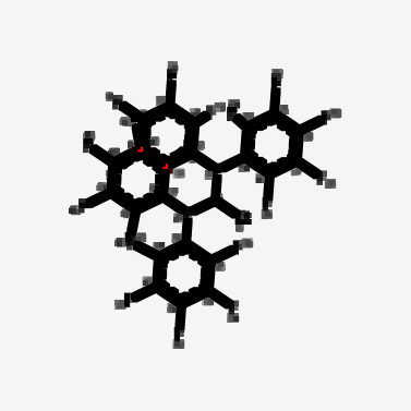 CCC(P(c1c(F)c(F)c(F)c(F)c1F)c1c(F)c(F)c(F)c(F)c1F)P(c1c(F)c(F)c(F)c(F)c1F)c1c(F)c(F)c(F)c(F)c1F